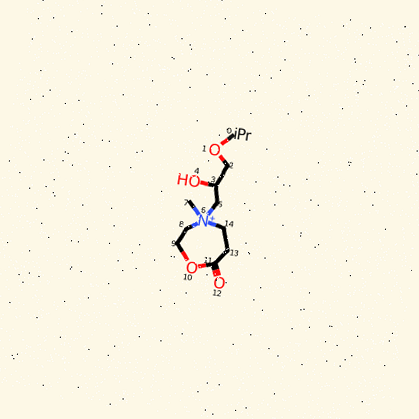 CC(C)OCC(O)C[N+]1(C)CCOC(=O)CC1